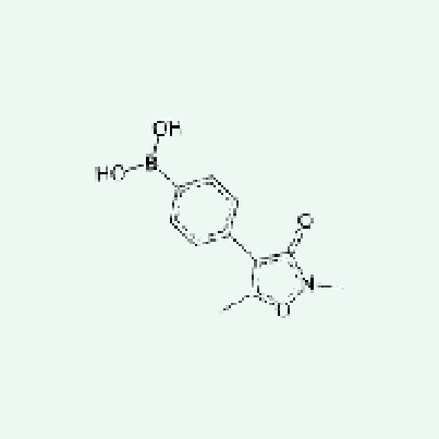 Cc1on(C)c(=O)c1-c1ccc(B(O)O)cc1